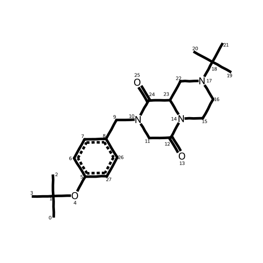 CC(C)(C)Oc1ccc(CN2CC(=O)N3CCN(C(C)(C)C)CC3C2=O)cc1